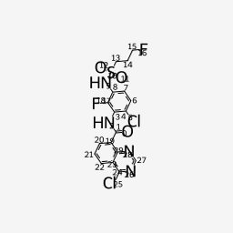 O=C(Nc1c(Cl)ccc(NS(=O)(=O)CCCF)c1F)c1cccc2c(Cl)ncnc12